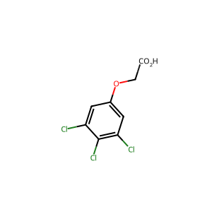 O=C(O)COc1cc(Cl)c(Cl)c(Cl)c1